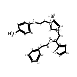 Br.Cc1ccc(OCCN2C=CN(CC(OCCc3ccccc3)c3cccs3)C2)cc1